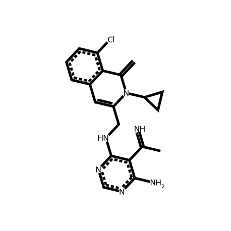 C=C1c2c(Cl)cccc2C=C(CNc2ncnc(N)c2C(C)=N)N1C1CC1